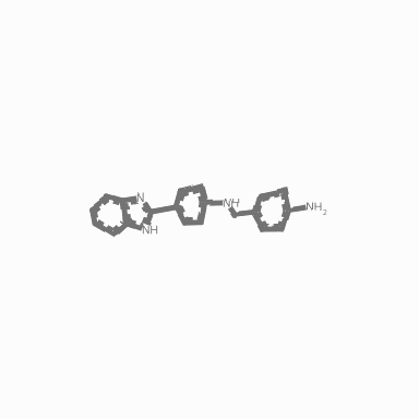 Nc1ccc(CNc2ccc(-c3nc4ccccc4[nH]3)cc2)cc1